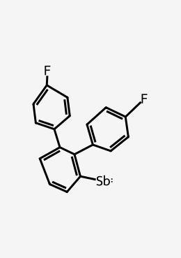 Fc1ccc(-c2ccc[c]([Sb])c2-c2ccc(F)cc2)cc1